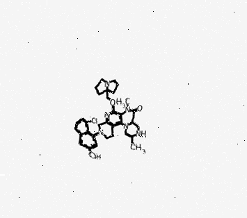 CC1CN2c3c4c(nc(OCC56CCCN5CCC6)c3N(C)C(=O)C2CN1)CN(c1cc(O)cc2cccc(Cl)c12)CC4